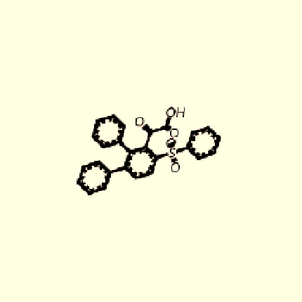 O=C(O)C(=O)c1c(S(=O)(=O)c2ccccc2)ccc(-c2ccccc2)c1-c1ccccc1